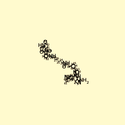 Nc1ncccc1-c1nc2ccc(-c3cccc(CCC(=O)NCCCCCCCNc4cccc5c4C(=O)N(C4CCC(=O)NC4=O)C5=O)c3)nc2n1-c1ccc(C2(N)CCC2)cc1